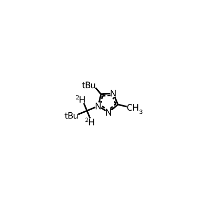 [2H]C([2H])(n1nc(C)nc1C(C)(C)C)C(C)(C)C